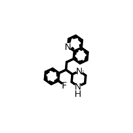 Fc1ccccc1C(Cc1cccc2cccnc12)C1CNCC[N]1